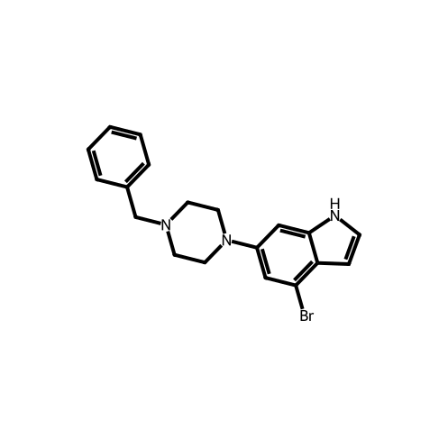 Brc1cc(N2CCN(Cc3ccccc3)CC2)cc2[nH]ccc12